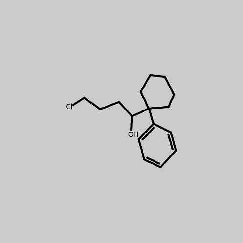 OC(CCCCl)C1(c2ccccc2)CCCCC1